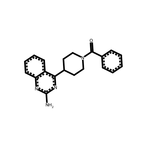 Nc1nc(C2CCN(C(=O)c3ccccc3)CC2)c2ccccc2n1